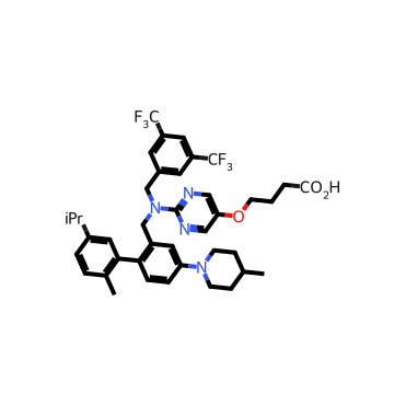 Cc1ccc(C(C)C)cc1-c1ccc(N2CCC(C)CC2)cc1CN(Cc1cc(C(F)(F)F)cc(C(F)(F)F)c1)c1ncc(OCCCC(=O)O)cn1